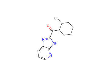 CCC(C)C1CCCCC1C(=O)c1nc2cccnc2[nH]1